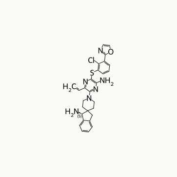 C=Cc1nc(Sc2cccc(-c3ncco3)c2Cl)c(N)nc1N1CCC2(CC1)Cc1ccccc1[C@H]2N